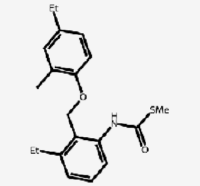 CCc1ccc(OCc2c(CC)cccc2NC(=O)SC)c(C)c1